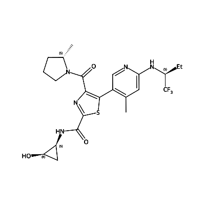 CC[C@H](Nc1cc(C)c(-c2sc(C(=O)N[C@H]3C[C@H]3O)nc2C(=O)N2CCC[C@@H]2C)cn1)C(F)(F)F